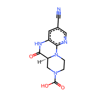 N#Cc1cnc2c(c1)NC(=O)[C@@H]1CN(C(=O)O)CCN21